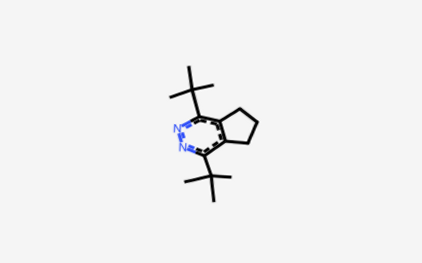 CC(C)(C)c1nnc(C(C)(C)C)c2c1CCC2